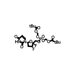 CC(C)(C)C(=O)OCOP(=O)(OCOC(=O)C(C)(C)C)OC[C@@]1(F)O[C@@H](n2ccc(=O)[nH]c2=O)C[C@@H]1F